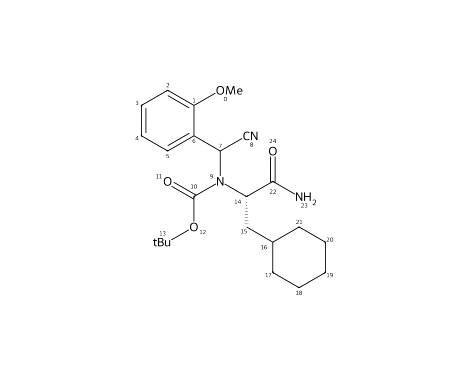 COc1ccccc1C(C#N)N(C(=O)OC(C)(C)C)[C@@H](CC1CCCCC1)C(N)=O